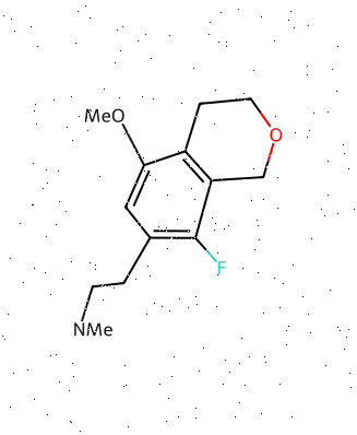 CNCCc1cc(OC)c2c(c1F)COCC2